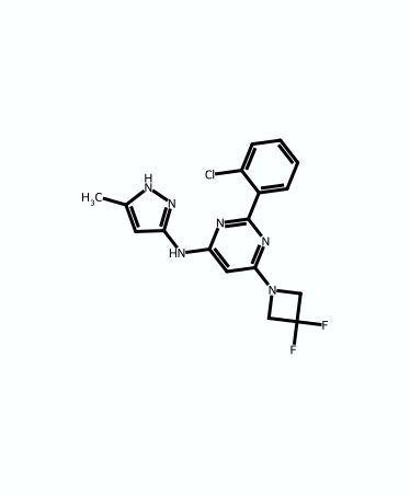 Cc1cc(Nc2cc(N3CC(F)(F)C3)nc(-c3ccccc3Cl)n2)n[nH]1